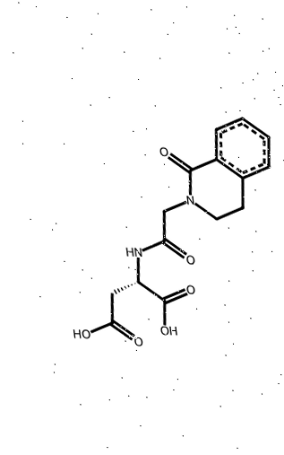 O=C(O)C[C@H](NC(=O)CN1CCc2ccccc2C1=O)C(=O)O